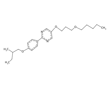 CCCCCOCCCOc1cnc(-c2ccc(OCC(C)CC)cc2)nc1